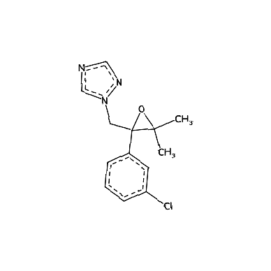 CC1(C)OC1(Cn1cncn1)c1cccc(Cl)c1